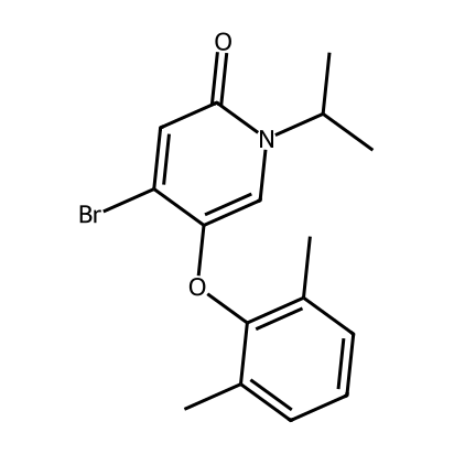 Cc1cccc(C)c1Oc1cn(C(C)C)c(=O)cc1Br